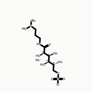 CCCCN(CCCC)CCCNC(=O)[C@H](O)[C@@H](O)[C@H](O)[C@H](O)COS(=O)(=O)[O-].[Na+]